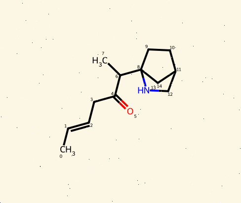 CC=CCC(=O)C(C)C12CCC(CN1)C2